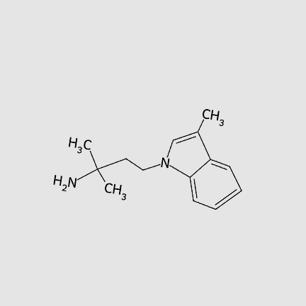 Cc1cn(CCC(C)(C)N)c2ccccc12